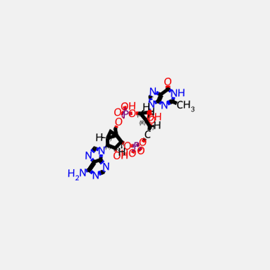 Cc1nc2c(ncn2[C@@H]2O[C@@H]3COP(=O)(O)O[C@H]4[C@@H](O)[C@H](n5cnc6c(N)ncnc65)[C@H]5CC54COP(=O)(O)O[C@@H]2[C@@H]3O)c(=O)[nH]1